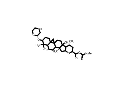 CNC(=O)OC(C(C)C)C1C[C@@H](C)C2C(C[C@@]3(C)C4CCC5C(C)(C)C(O[C@H]6CNCCO6)CCC56CC46CCC23C)O1